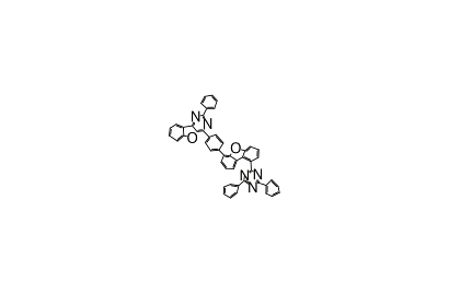 c1ccc(-c2nc(-c3ccccc3)nc(-c3cccc4oc5c(-c6ccc(-c7nc(-c8ccccc8)nc8c7oc7ccccc78)cc6)cccc5c34)n2)cc1